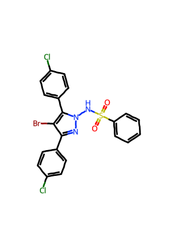 O=S(=O)(Nn1nc(-c2ccc(Cl)cc2)c(Br)c1-c1ccc(Cl)cc1)c1ccccc1